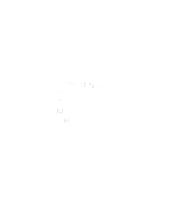 [Al+3].[Al+3].[Nb].[Nb].[O-2].[O-2].[O-2].[SnH2].[SnH2]